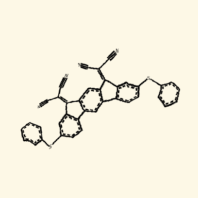 N#CC(C#N)=C1c2cc(Sc3ccccc3)ccc2-c2cc3c(cc21)C(=C(C#N)C#N)c1cc(Sc2ccccc2)ccc1-3